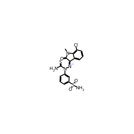 CN1C(=O)/C(=N\N(C(N)=S)c2cccc(S(N)(=O)=O)c2)c2cccc(Cl)c21